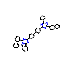 c1ccc(-c2nc(-c3ccc(-c4ccc(-c5nc(-c6ccccc6)n6c(-c7ccccc7)c7ccccc7c6n5)cc4)cc3)nc(-c3ccc4ccccc4c3)n2)cc1